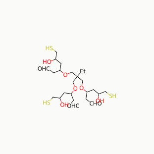 CCC(COC(CC=O)CC(O)CS)(COC(CC=O)CC(O)CS)COC(CC=O)CC(O)CS